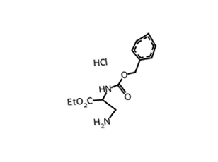 CCOC(=O)C(CN)NC(=O)OCc1ccccc1.Cl